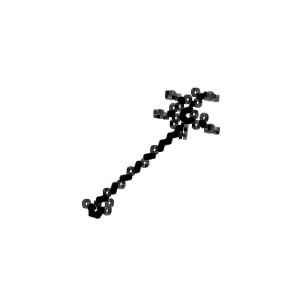 CC(C)(C)C(=O)OC[C@H]1OC(OC(=O)C(C)(C)C)[C@H](NC(=O)CCCCCOCCOCCOCCOCCOC(=O)CN2C(=O)CCC2=O)[C@@H](OC(=O)C(C)(C)C)[C@H]1OC(=O)C(C)(C)C